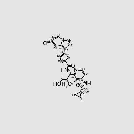 C[C@@H](CO)[C@H](NC(=O)c1ncc(-c2cnn3ccc(Cl)cc23)s1)c1cc(NS(=O)(=O)C2CC2)ccn1